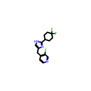 Fc1cnccc1Cc1c[nH]c(C2CCC(F)(F)CC2)n1